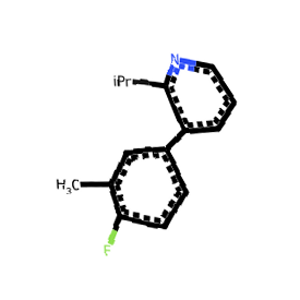 Cc1cc(-c2cccnc2C(C)C)ccc1F